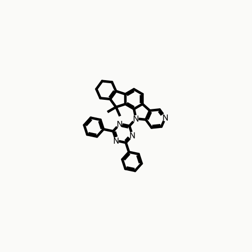 CC1(C)C2=C(CCCC2)c2ccc3c4cnccc4n(-c4nc(-c5ccccc5)nc(-c5ccccc5)n4)c3c21